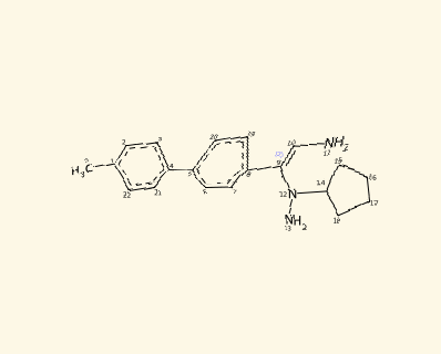 Cc1ccc(-c2ccc(/C(=C/N)N(N)C3CCCC3)cc2)cc1